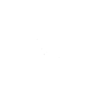 C=CC(=O)OCCN(CCOC(=O)C=C)S(=O)(=O)O